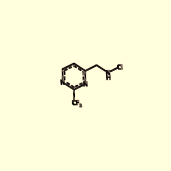 FC(F)(F)c1nccc(CNCl)n1